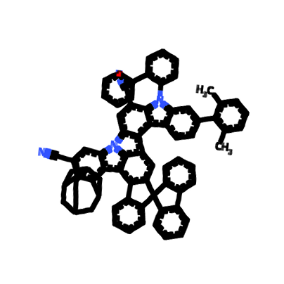 Cc1cccc(C)c1-c1ccc2c3c4c5cc6c(c7c8c9c(c(C#N)cc8n(c4cc(C#N)c3n(-c3ccccc3-c3ccccc3)c2c1)c57)C1CC2CC(C1)CC9C2)-c1ccccc1C61c2ccccc2-c2ccccc21